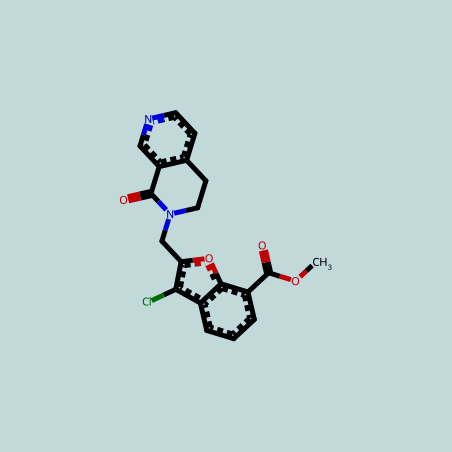 COC(=O)c1cccc2c(Cl)c(CN3CCc4ccncc4C3=O)oc12